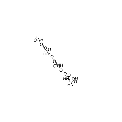 CNC(CCNC(=O)COCCOCCNC(=O)COCCOCCNC(=O)COCCOCCNC(C)=O)C(=O)O